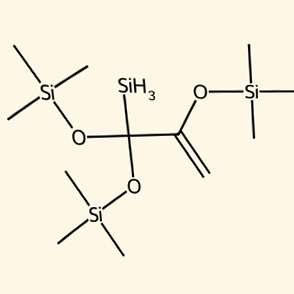 C=C(O[Si](C)(C)C)C([SiH3])(O[Si](C)(C)C)O[Si](C)(C)C